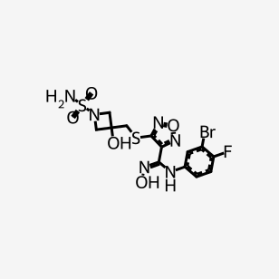 NS(=O)(=O)N1CC(O)(CSc2nonc2/C(=N/O)Nc2ccc(F)c(Br)c2)C1